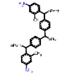 CCCCCCCCCC(c1ccc(C(CCCCC)c2ccc(N)cc2C)cc1)c1ccc(C(CCCCC)c2ccc(N)cc2C)cc1